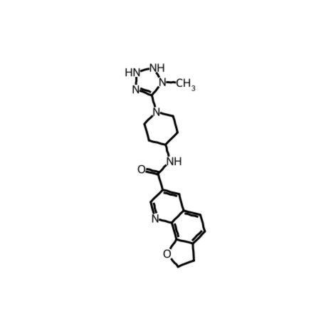 CN1NNN=C1N1CCC(NC(=O)c2cnc3c4c(ccc3c2)CCO4)CC1